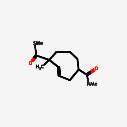 CNC(=O)C1C/C=C/C(C)(C(=O)SC)CCC1